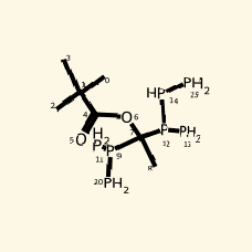 CC(C)(C)C(=O)OC(C)(P(P)P)P(P)PP